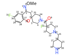 CO/N=C1\CC2(CCN(C(=O)C3(F)CCN(CC4CCNCC4)CC3)CC2)Oc2ccc(F)cc21